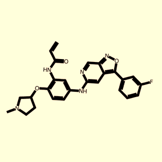 C=CC(=O)Nc1cc(Nc2cc3c(-c4cccc(F)c4)onc3cn2)ccc1OC1CCN(C)C1